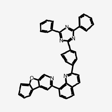 c1ccc(-c2nc(-c3ccccc3)nc(-c3ccc(-c4ccc5cccc(-c6cc7c(cn6)oc6ccccc67)c5n4)cc3)n2)cc1